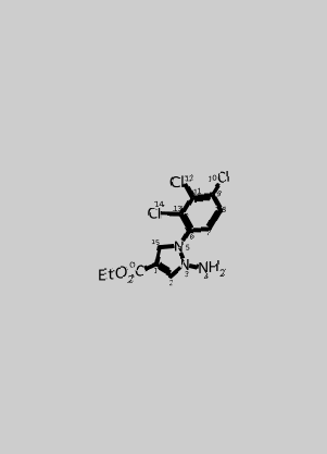 CCOC(=O)C1=CN(N)N(c2ccc(Cl)c(Cl)c2Cl)C1